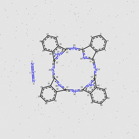 [N-]=[N+]=[N-].c1ccc2c(c1)-c1nc-2nc2[nH]c(nc3nc(nc4[nH]c(n1)c1ccccc41)-c1ccccc1-3)c1ccccc21